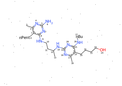 CCCCCc1c(C)nc(N)nc1NCCC(C)Nc1nc(C)c(CCCCO)c(NCCCC)n1